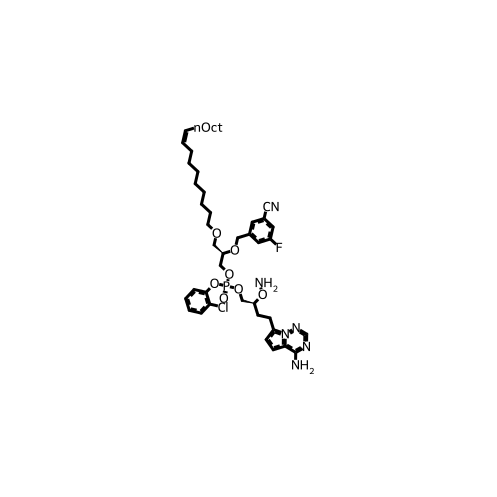 CCCCCCCC/C=C\CCCCCCCCOC[C@H](COP(=O)(OC[C@H](CCc1ccc2c(N)ncnn12)ON)Oc1ccccc1Cl)OCc1cc(F)cc(C#N)c1